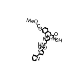 COCCOc1ccc(CC(C(=O)NO)n2cc(CNS(=O)(=O)c3ccc(-c4ccccn4)s3)nn2)cc1